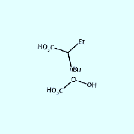 CCCCC(CC)C(=O)O.O=C(O)OO